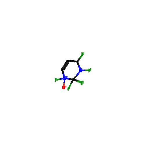 [O-][N+]1(F)C=CC(F)N(F)C1(F)F